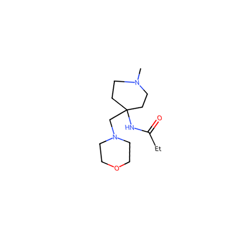 CCC(=O)NC1(CN2CCOCC2)CCN(C)CC1